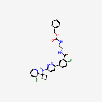 CN(c1ccc(-c2ccc(F)c(C(=S)NCCNC(=O)OCc3ccccc3)c2)nn1)C1(c2ncccc2F)CCC1